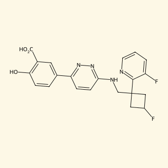 O=C(O)c1cc(-c2ccc(NCC3(c4ncccc4F)CC(F)C3)nn2)ccc1O